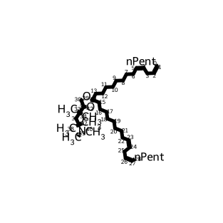 CCCCC/C=C\C/C=C\CCCCCCCCC1(CCCCCCCC/C=C\C/C=C\CCCCC)OCC(C(C)(C)CC(C)(C)N(C)C)O1